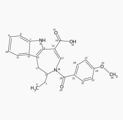 CCC1Cc2c([nH]c3ccccc23)C(C(=O)O)=CN1C(=O)c1ccc(OC)cc1